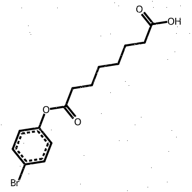 O=C(O)CCCCCCC(=O)Oc1ccc(Br)cc1